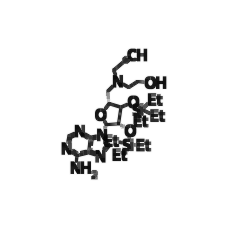 C#CCN(CCO)C[C@H]1O[C@@H](n2cnc3c(N)ncnc32)[C@@H](O[Si](CC)(CC)CC)C1O[Si](CC)(CC)CC